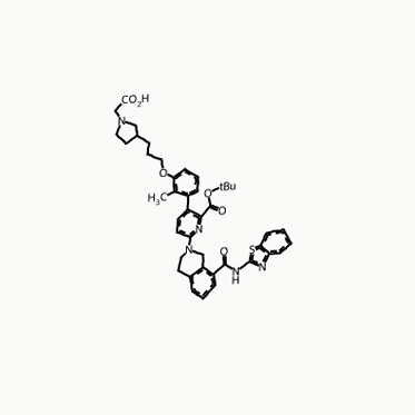 Cc1c(OCCCC2CCN(CC(=O)O)C2)cccc1-c1ccc(N2CCc3cccc(C(=O)Nc4nc5ccccc5s4)c3C2)nc1C(=O)OC(C)(C)C